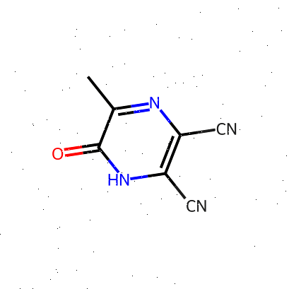 Cc1nc(C#N)c(C#N)[nH]c1=O